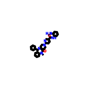 CN1C(=O)C2(CCN(c3ccc(C(=O)Nc4ccccc4N)cn3)CC2)N=C(c2ccccc2)c2ccccc21